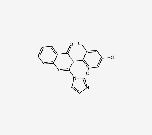 O=c1c2ccccc2cc(-n2ccnc2)n1-c1c(Cl)cc(Cl)cc1Cl